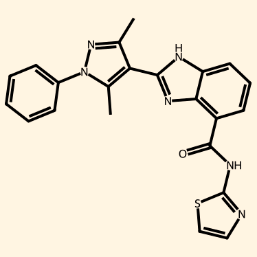 Cc1nn(-c2ccccc2)c(C)c1-c1nc2c(C(=O)Nc3nccs3)cccc2[nH]1